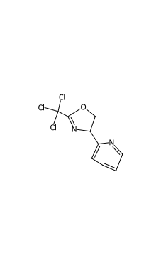 ClC(Cl)(Cl)C1=NC(c2ccccn2)CO1